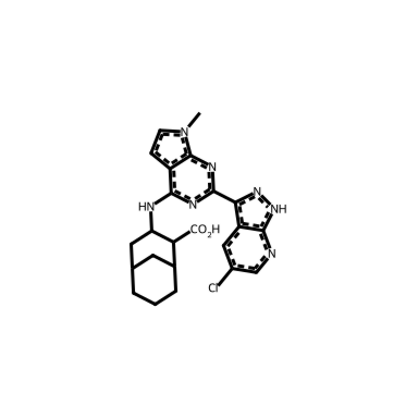 Cn1ccc2c(NC3CC4CCCC(C4)C3C(=O)O)nc(-c3n[nH]c4ncc(Cl)cc34)nc21